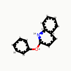 c1ccc(Oc2ccc3ccccc3n2)cc1